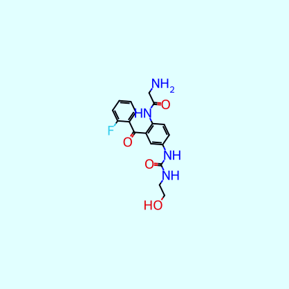 NCC(=O)Nc1ccc(NC(=O)NCCO)cc1C(=O)c1ccccc1F